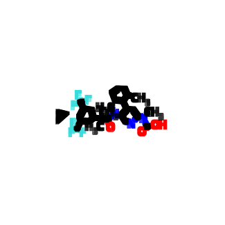 C1CC1.Cc1ccccc1-c1cc(N(C)C(=O)O)ncc1N(C)C(=O)C(C)(C)c1cc(C(F)(F)F)cc(C(F)(F)F)c1